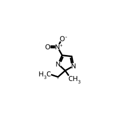 C[CH]C1(C)N=CC([N+](=O)[O-])=N1